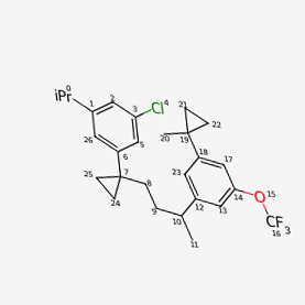 CC(C)c1cc(Cl)cc(C2(CCC(C)c3cc(OC(F)(F)F)cc(C4(C)CC4)c3)CC2)c1